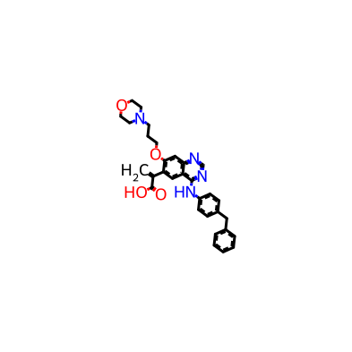 C=C(C(=O)O)c1cc2c(Nc3ccc(Cc4ccccc4)cc3)ncnc2cc1OCCCN1CCOCC1